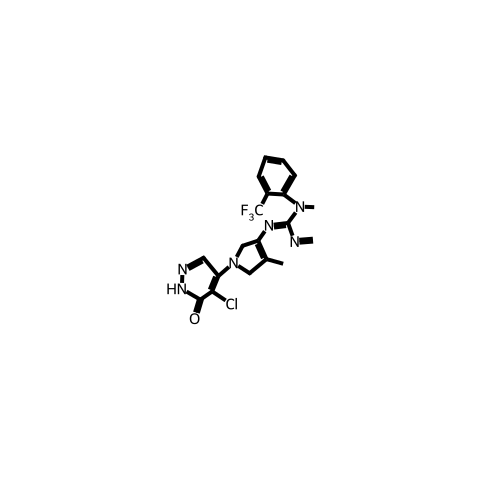 C=N/C(=N\C1=C(C)CN(c2cn[nH]c(=O)c2Cl)C1)N(C)c1ccccc1C(F)(F)F